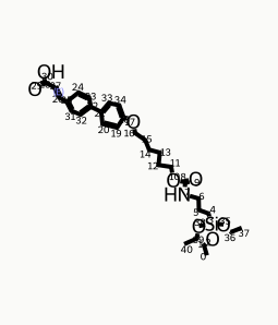 CCO[Si](CCCNC(=O)OCCCCCCOc1ccc(-c2ccc(/C=C/C(=O)O)cc2)cc1)(OCC)OCC